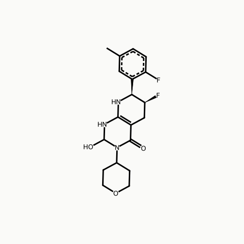 Cc1ccc(F)c([C@@H]2NC3=C(C[C@@H]2F)C(=O)N(C2CCOCC2)C(O)N3)c1